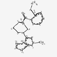 CCc1ccccc1C(=O)N1CCCC(c2cc(C)nc3ncnn23)C1